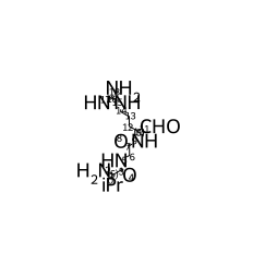 CC(C)[C@H](N)C(=O)NCC(=O)N[C@H](C=O)CCCNC(=N)N